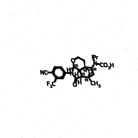 CC(C)N(C(=O)O)[C@H]1C[C@@]2(C)O[C@@]13CCO[C@H]1[C@@H]3[C@@H]2C(=O)N1c1ccc(C#N)c(C(F)(F)F)c1